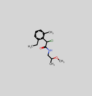 CCc1cccc(C)c1C(Cl)C(=O)NCC(C)OC